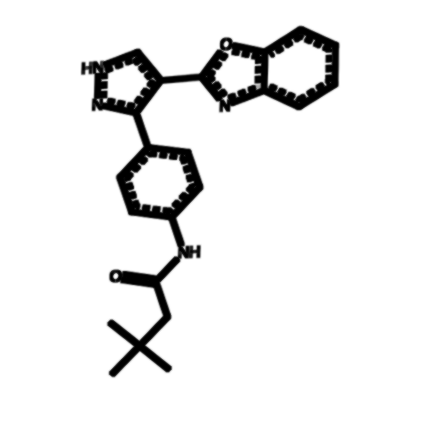 CC(C)(C)CC(=O)Nc1ccc(-c2n[nH]cc2-c2nc3ccccc3o2)cc1